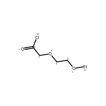 CCOCCOCC(=O)Cl